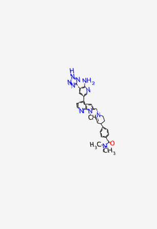 CN(C)C(=O)c1ccc(C2CCN(Cc3cc4c(-c5cnc(N)c(-c6nn[nH]n6)c5)ccnc4n3C)CC2)cc1